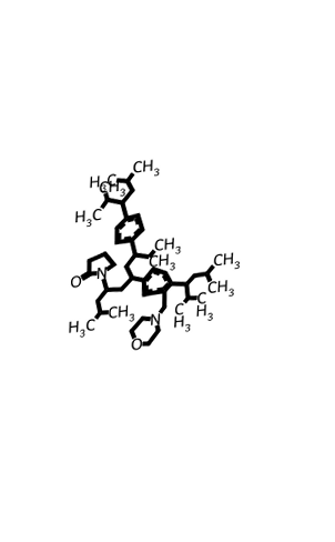 CC(C)CC(c1ccc(C(CC(CC(CC(C)C)N2CCCC2=O)c2ccc(C(CC(C)C)C(C)C)c(CN3CCOCC3)c2)C(C)C)cc1)C(C)C